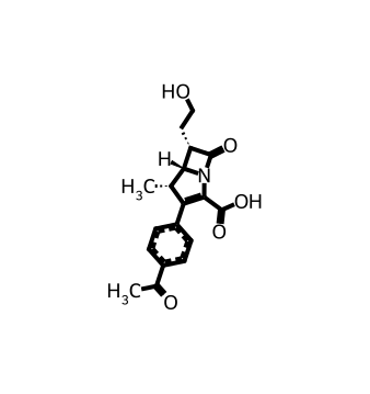 CC(=O)c1ccc(C2=C(C(=O)O)N3C(=O)[C@@H](CCO)[C@H]3[C@H]2C)cc1